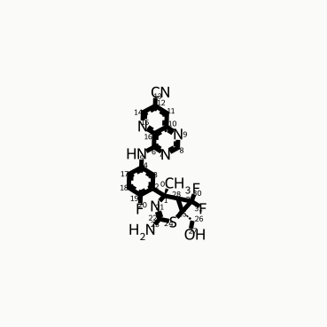 C[C@]1(c2cc(Nc3ncnc4cc(C#N)cnc34)ccc2F)N=C(N)S[C@@]2(CO)C1C2(F)F